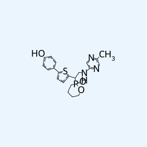 Cc1cnc(NCC(c2ccc(-c3ccc(O)cc3)s2)P2(=O)CCCCO2)cn1